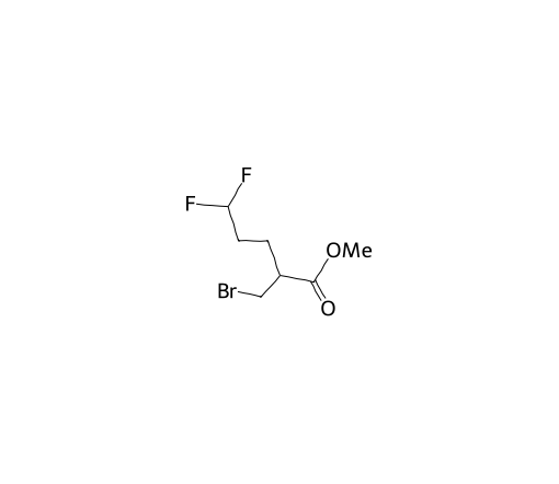 COC(=O)C(CBr)CCC(F)F